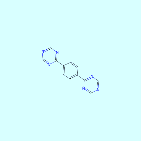 c1ncnc(-c2ccc(-c3ncncn3)cc2)n1